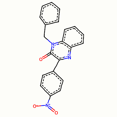 O=c1c(-c2ccc([N+](=O)[O-])cc2)nc2ccccc2n1Cc1ccccc1